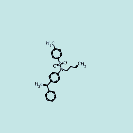 C=CCCN(c1ccc(C(=C)c2ccccc2)cc1)S(=O)(=O)c1ccc(C)cc1